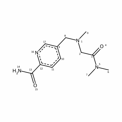 CN(CC(=O)N(C)C)Cc1ccc(C(N)=O)nc1